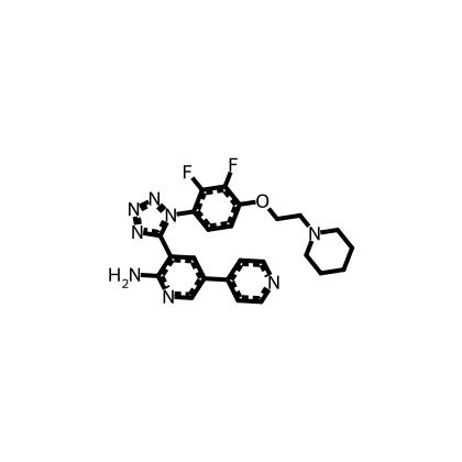 Nc1ncc(-c2ccncc2)cc1-c1nnnn1-c1ccc(OCCN2CCCCC2)c(F)c1F